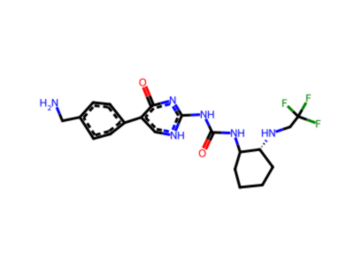 NCc1ccc(-c2c[nH]c(NC(=O)NC3CCCC[C@H]3NCC(F)(F)F)nc2=O)cc1